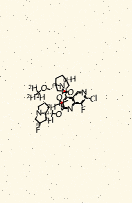 [2H]C([2H])([2H])OC[C@@]12CC[C@@H](CN(c3nc(OC([2H])([2H])[C@@]45CCCN4C[C@H](F)C5)nc4c(F)c(Cl)ncc34)C1)N2C(=O)OC(C)(C)C